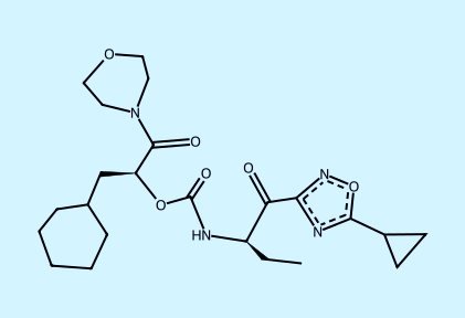 CC[C@@H](NC(=O)O[C@@H](CC1CCCCC1)C(=O)N1CCOCC1)C(=O)c1noc(C2CC2)n1